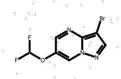 FC(F)Oc1cnc2c(Br)cnn2c1